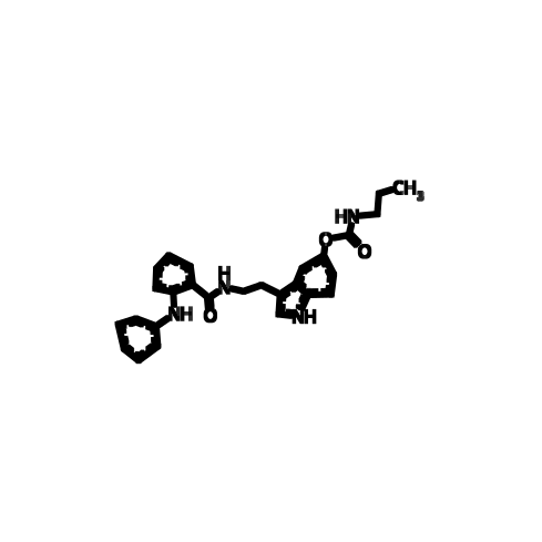 CCCNC(=O)Oc1ccc2[nH]cc(CCNC(=O)c3ccccc3Nc3ccccc3)c2c1